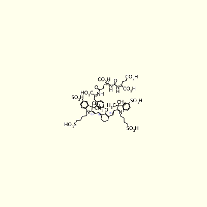 CC1(C)C(/C=C/C2=C(Oc3ccc(C[C@H](NC(=O)CC[C@H](NC(=O)N[C@@H](CCC(=O)O)C(=O)O)C(=O)O)C(=O)O)cc3)C(=C/C=C3/N(CCCCS(=O)(=O)O)c4ccc(S(=O)(=O)O)cc4C3(C)C)/CCC2)=[N+](CCCCS(=O)(=O)O)c2ccc(S(=O)(=O)O)cc21